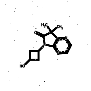 CC1(C)C(=O)N(C2CC(O)C2)c2nccnc21